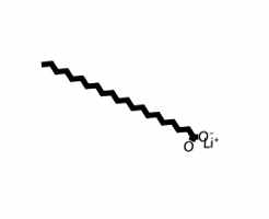 CCCCCCCCCCCCCCCCCCCCC(=O)[O-].[Li+]